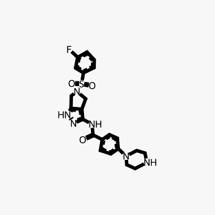 O=C(Nc1n[nH]c2c1CN(S(=O)(=O)c1cccc(F)c1)C2)c1ccc(N2CCNCC2)cc1